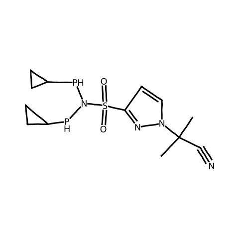 CC(C)(C#N)n1ccc(S(=O)(=O)N(PC2CC2)PC2CC2)n1